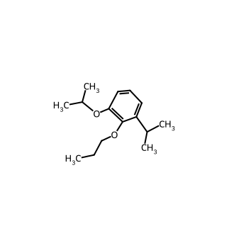 CCCOc1c(OC(C)C)cccc1C(C)C